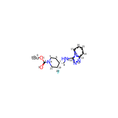 CC(C)(C)OC(=O)N1CC[C@H](CNc2nnc3ccccn23)[C@H](F)C1